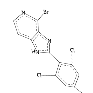 N#Cc1cc(Cl)c(-c2nc3c(Br)nccc3[nH]2)c(Cl)c1